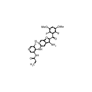 C=CC(=O)Nc1cncc(C)c1Nc1cc2c(N)c(C(=O)c3c(F)c(OC)cc(OC)c3F)oc2cn1